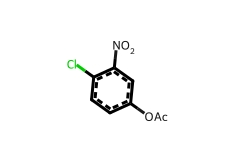 CC(=O)Oc1ccc(Cl)c([N+](=O)[O-])c1